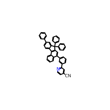 N#Cc1ccnc(-c2cccc(-c3cc4c(c5ccccc35)-c3ccc(-c5ccccc5)cc3C4(c3ccccc3)c3ccccc3)c2)c1